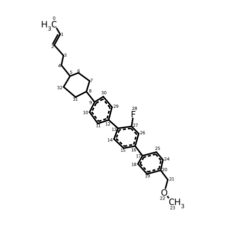 C/C=C/CCC1CCC(c2ccc(-c3ccc(-c4ccc(COC)cc4)cc3F)cc2)CC1